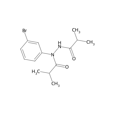 CC(C)C(=O)NN(C(=O)C(C)C)c1cccc(Br)c1